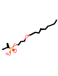 CCCCCCCCOCCCOP(=O)(O)C(C)C